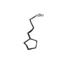 [CH2]CCCCCCC1[CH]CCC1